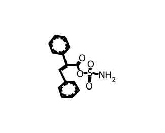 NS(=O)(=O)OC(=O)C(=Cc1ccccc1)c1ccccc1